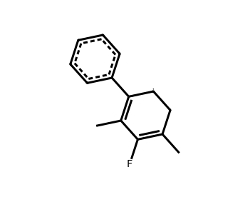 CC1=C(F)C(C)=C(c2ccccc2)[CH]C1